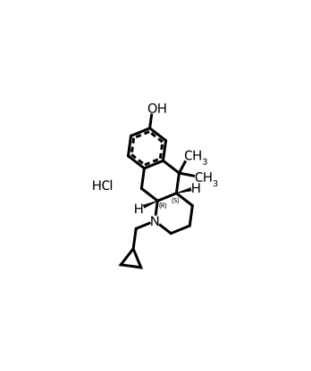 CC1(C)c2cc(O)ccc2C[C@@H]2[C@H]1CCCN2CC1CC1.Cl